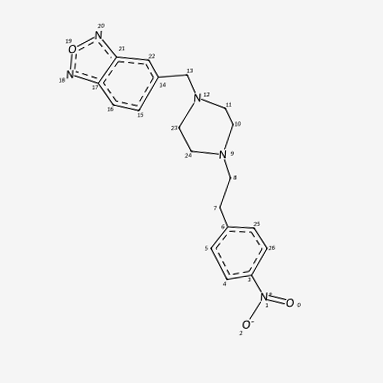 O=[N+]([O-])c1ccc(CCN2CCN(Cc3ccc4nonc4c3)CC2)cc1